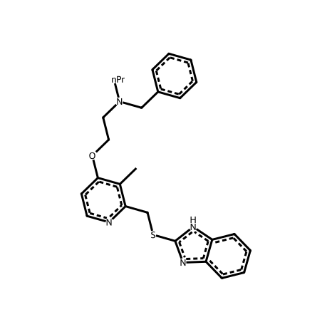 CCCN(CCOc1ccnc(CSc2nc3ccccc3[nH]2)c1C)Cc1ccccc1